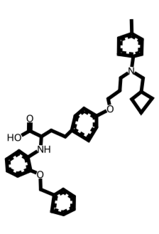 Cc1ccc(N(CCCOc2ccc(CCC(Nc3ccccc3OCc3ccccc3)C(=O)O)cc2)CC2CCC2)cc1